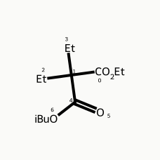 CCOC(=O)C(CC)(CC)C(=O)OCC(C)C